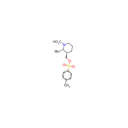 Cc1ccc(S(=O)(=O)OC[C@@H]2CCCN(C(=O)O)C2C(C)(C)C)cc1